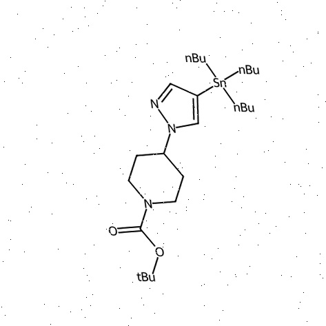 CCC[CH2][Sn]([CH2]CCC)([CH2]CCC)[c]1cnn(C2CCN(C(=O)OC(C)(C)C)CC2)c1